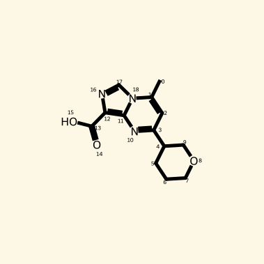 Cc1cc(C2CCCOC2)nc2c(C(=O)O)ncn12